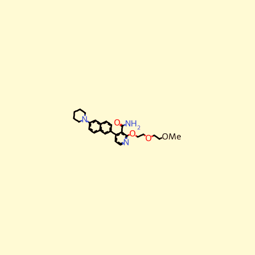 COCCOCCOc1nccc(-c2ccc3cc(N4CCCCC4)ccc3c2)c1C(N)=O